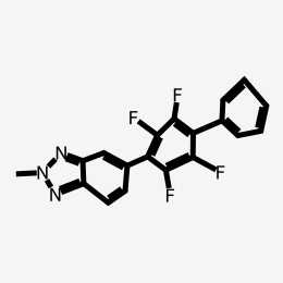 Cn1nc2ccc(-c3c(F)c(F)c(-c4ccccc4)c(F)c3F)cc2n1